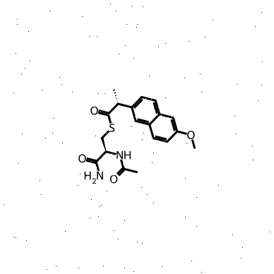 COc1ccc2cc([C@@H](C)C(=O)SC[C@@H](NC(C)=O)C(N)=O)ccc2c1